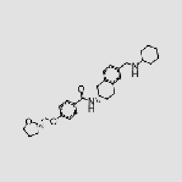 O=C(N[C@H]1CCc2cc(CNC3CCCCC3)ccc2C1)c1ccc(OC[C@@H]2CCCO2)cc1